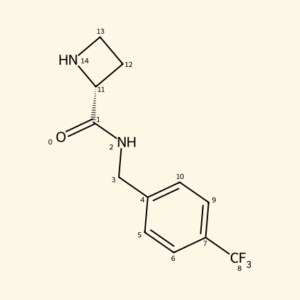 O=C(NCc1ccc(C(F)(F)F)cc1)[C@H]1CCN1